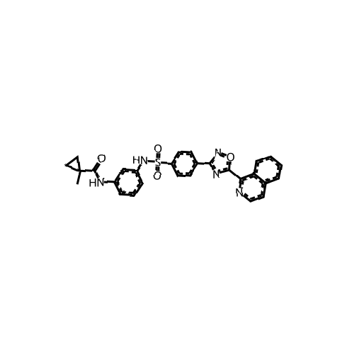 CC1(C(=O)Nc2cccc(NS(=O)(=O)c3ccc(-c4noc(-c5nccc6ccccc56)n4)cc3)c2)CC1